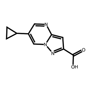 O=C(O)c1cc2ncc(C3CC3)cn2n1